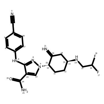 N#Cc1ccc(Nc2nn([C@H]3CC[C@H](NCC(F)F)CC3=N)cc2C(N)=O)cc1